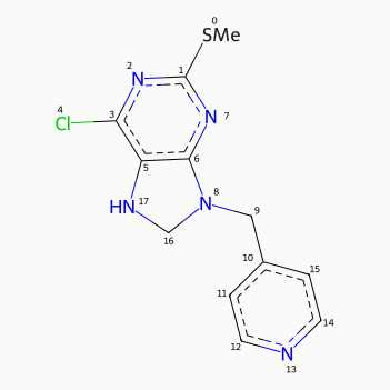 CSc1nc(Cl)c2c(n1)N(Cc1ccncc1)CN2